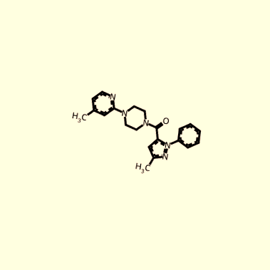 Cc1ccnc(N2CCN(C(=O)c3cc(C)nn3-c3ccccc3)CC2)c1